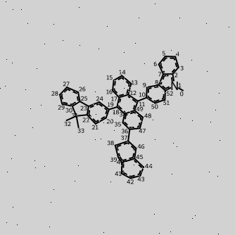 Cn1c2ccccc2c2cc(-c3c4ccccc4c(-c4ccc5c(c4)-c4ccccc4C5(C)C)c4cc(-c5ccc6ccccc6c5)ccc34)ccc21